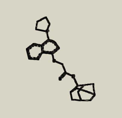 O=C(COc1ccc([S+]2CCCC2)c2ccccc12)OC1C2CC3CC(C2)CC1C3